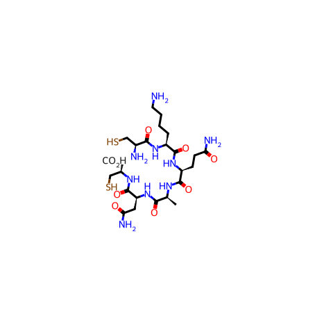 C[C@H](NC(=O)[C@H](CCC(N)=O)NC(=O)[C@H](CCCCN)NC(=O)[C@@H](N)CS)C(=O)N[C@@H](CC(N)=O)C(=O)N[C@@H](CS)C(=O)O